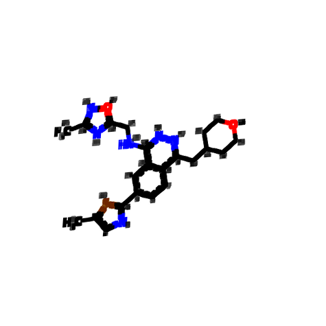 Cc1cnc(-c2ccc3c(CC4CCOCC4)nnc(NCc4nc(C(F)(F)F)no4)c3c2)s1